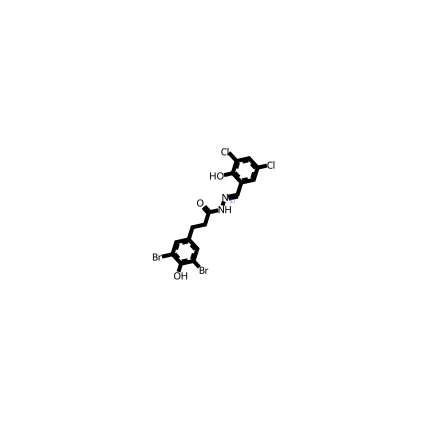 O=C(CCc1cc(Br)c(O)c(Br)c1)N/N=C/c1cc(Cl)cc(Cl)c1O